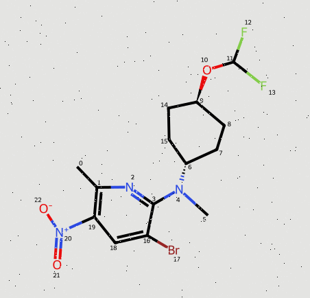 Cc1nc(N(C)[C@H]2CC[C@H](OC(F)F)CC2)c(Br)cc1[N+](=O)[O-]